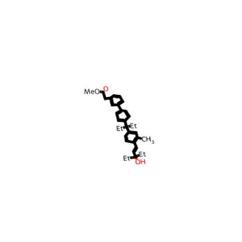 CCC(O)(C=Cc1ccc(C(CC)(CC)c2ccc(-c3cccc(CC(=O)OC)c3)cc2)cc1C)CC